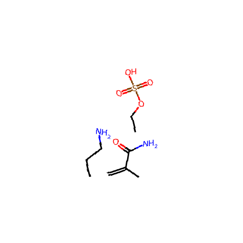 C=C(C)C(N)=O.CCCN.CCOS(=O)(=O)O